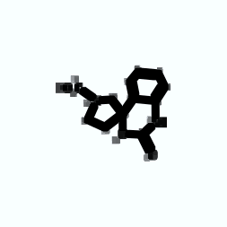 O=C1Nc2ccccc2C2(CCN(C(=O)O)C2)O1